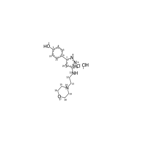 Cl.Cl.Oc1ccc(-c2nnc(NCCN3CCOCC3)s2)cc1